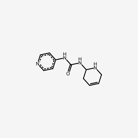 O=C(Nc1ccncc1)NC1CC=CCN1